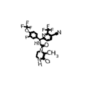 CC1C(=O)NCCN1C(=O)NC(c1ccc(OC(F)(F)F)c(F)c1)c1ccc(C#N)c(C(F)(F)F)n1